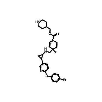 CCc1ccc(Oc2ccc(C3CC3NCC3(F)C=CN(C(=O)OCC4CCNCC4)C=C3)cn2)cc1